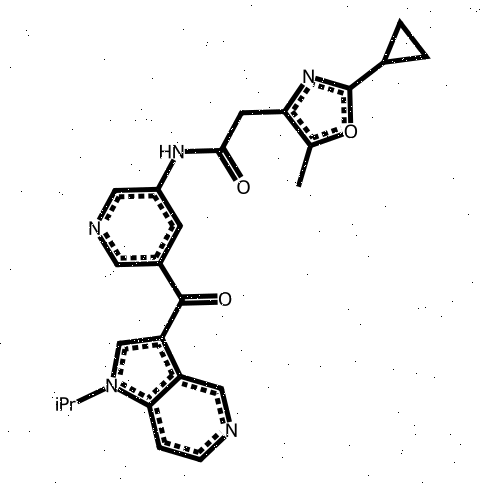 Cc1oc(C2CC2)nc1CC(=O)Nc1cncc(C(=O)c2cn(C(C)C)c3ccncc23)c1